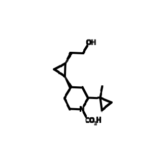 CC1(C2CC([C@H]3C[C@H]3CCO)CCN2C(=O)O)CC1